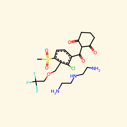 CS(=O)(=O)c1ccc(C(=O)C2C(=O)CCCC2=O)c(Cl)c1COCC(F)(F)F.NCCNCCN